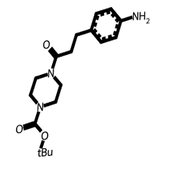 CC(C)(C)OC(=O)N1CCN(C(=O)CCc2ccc(N)cc2)CC1